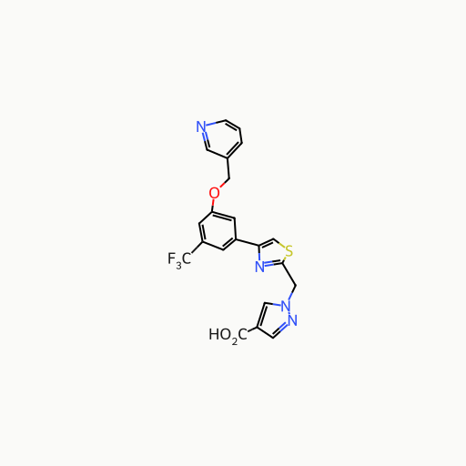 O=C(O)c1cnn(Cc2nc(-c3cc(OCc4cccnc4)cc(C(F)(F)F)c3)cs2)c1